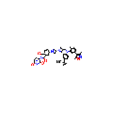 Cc1ccc(-c2c(C)noc2C)cc1N(CC1CN(C2CN(c3ccc4c(c3)C(=O)N(C3CCC(=O)NC3=O)C4=O)C2)C1)c1ccc(C2(C#N)CC2)cc1